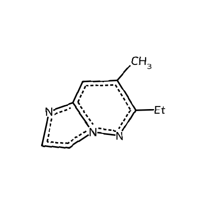 CCc1nn2ccnc2cc1C